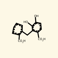 O=C(O)c1ccccc1Cc1c(C(=O)O)ccc(O)c1O